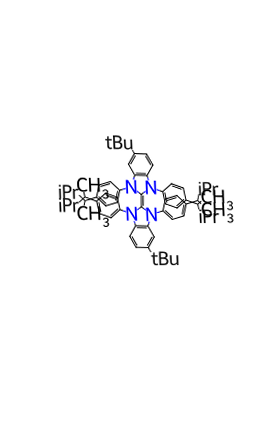 CC(C)C(C)c1ccc(N2/C(=C3/N(c4ccc(C(C)C(C)C)cc4)c4ccc(C(C)(C)C)cc4N3c3ccc(C(C)C(C)C)cc3)N(c3ccc(C(C)C(C)C)cc3)c3cc(C(C)(C)C)ccc32)cc1